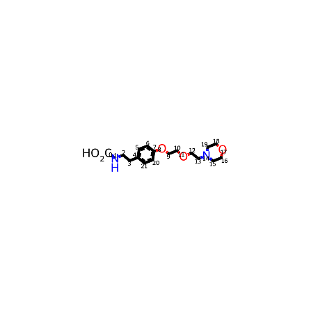 O=C(O)NCCc1ccc(OCCOCCN2CCOCC2)cc1